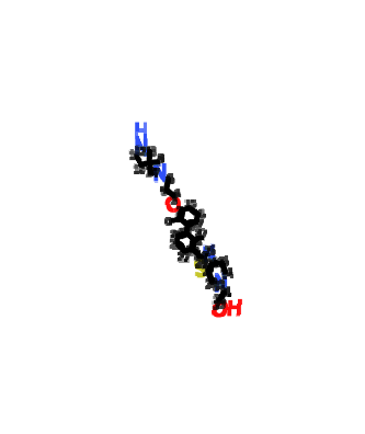 Cc1c(OCCCN2CC3(CCNC3)C2)cccc1-c1cccc(-c2nc3c(s2)CN(CCO)CC3)c1C